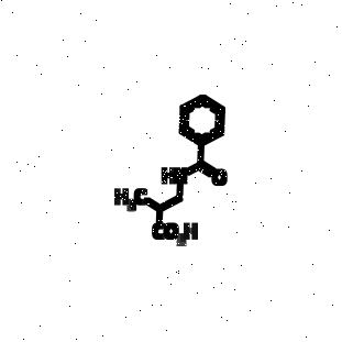 CC(CNC(=O)c1ccccc1)C(=O)O